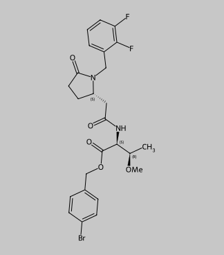 CO[C@H](C)[C@H](NC(=O)C[C@@H]1CCC(=O)N1Cc1cccc(F)c1F)C(=O)OCc1ccc(Br)cc1